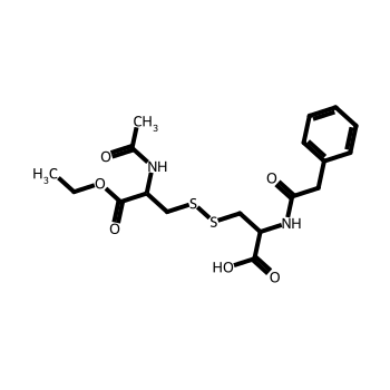 CCOC(=O)C(CSSCC(NC(=O)Cc1ccccc1)C(=O)O)NC(C)=O